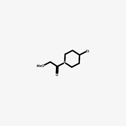 CCC1CCN(C(=O)COC)CC1